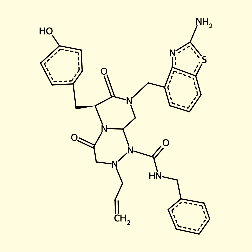 C=CCN1CC(=O)N2C(CN(Cc3cccc4sc(N)nc34)C(=O)[C@@H]2Cc2ccc(O)cc2)N1C(=O)NCc1ccccc1